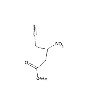 C#CCC(CC(=O)OC)[N+](=O)[O-]